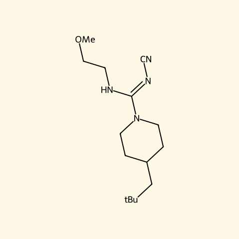 COCCN/C(=N\C#N)N1CCC(CC(C)(C)C)CC1